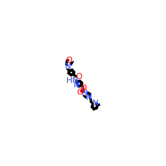 Cc1cccc(CCN2CCN(C(=O)Oc3ccc(NC(=O)c4ccc(CN5CCOCC5)cc4)nc3)CC2)n1